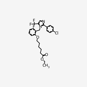 CCOC(=O)CCCCCOc1ccccc1Cn1c(C(F)(F)F)cnc1-c1ccc(Cl)cc1